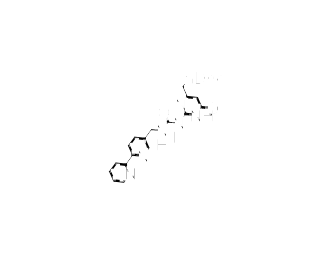 CCCCCCCCCCCc1cc(=O)[nH]c(NC(=O)NCc2ccc(-c3ccccn3)nc2)n1